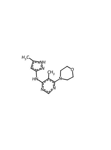 Cc1cc(Nc2ncnc(N3CCOCC3)c2C)n[nH]1